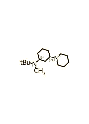 CN([C@H]1CCC[C@@H](N2CCCCC2)C1)C(C)(C)C